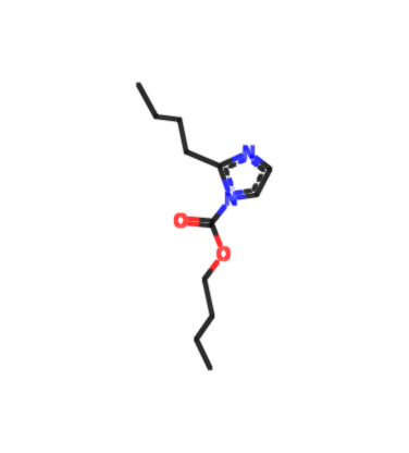 CCCCOC(=O)n1ccnc1CCCC